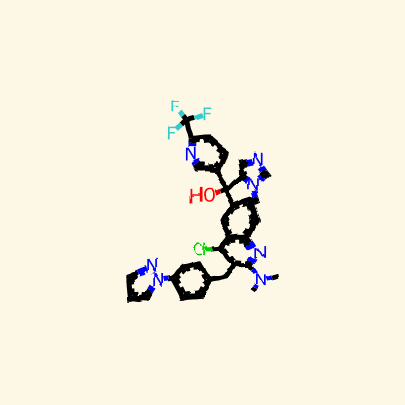 CN(C)c1nc2ccc(C(O)(c3ccc(C(F)(F)F)nc3)c3cncn3C)cc2c(Cl)c1Cc1ccc(-n2cccn2)cc1